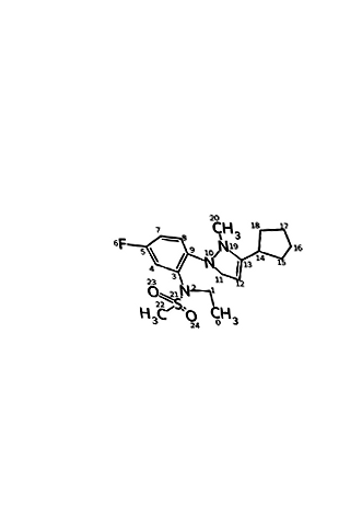 CCN(c1cc(F)ccc1N1CC=C(C2CCCC2)N1C)S(C)(=O)=O